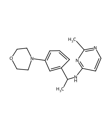 Cc1nccc(NC(C)c2cccc(N3CCOCC3)c2)n1